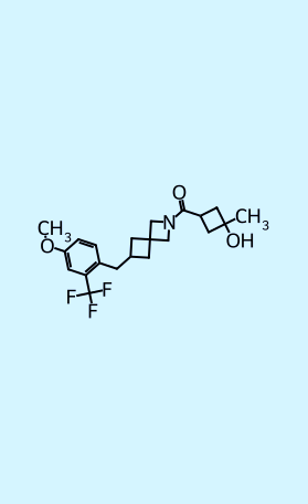 COc1ccc(CC2CC3(C2)CN(C(=O)C2CC(C)(O)C2)C3)c(C(F)(F)F)c1